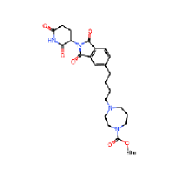 CC(C)(C)OC(=O)N1CCCN(CCCCc2ccc3c(c2)C(=O)N(C2CCC(=O)NC2=O)C3=O)CC1